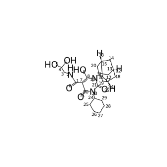 O=C(NCC(O)O)c1c(O)n([C@]23C[C@H]4C[C@H](C[C@H](C4)C2)C3)c(=O)n(C2CCCCC2)c1=O